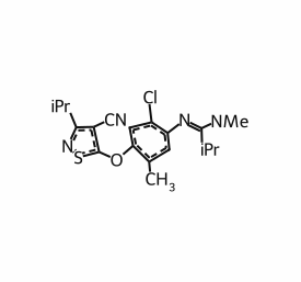 CNC(=Nc1cc(C)c(Oc2snc(C(C)C)c2C#N)cc1Cl)C(C)C